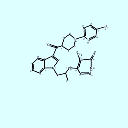 CC(Cn1cc(C(=O)N2CCN(c3ncc(C(F)(F)F)cn3)CC2)c2ccccc21)Nc1cn[nH]c(=O)c1C(F)(F)F